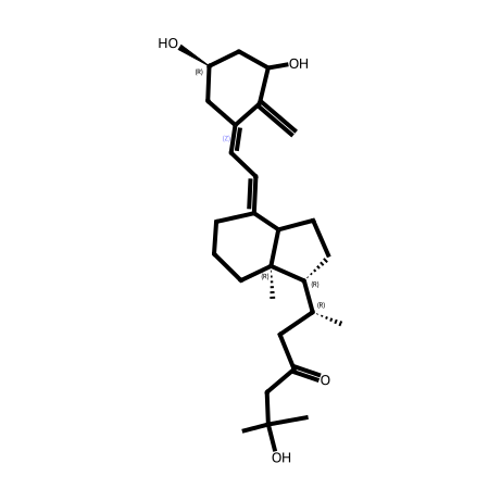 C=C1/C(=C\C=C2CCC[C@@]3(C)C2CC[C@@H]3[C@H](C)CC(=O)CC(C)(C)O)C[C@@H](O)CC1O